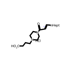 CCCCCCC/C=C/C(=O)N1CCN(CCCC(=O)O)CC1.Cl